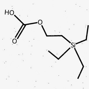 CC[Si](CC)(CC)CCOC(=O)O